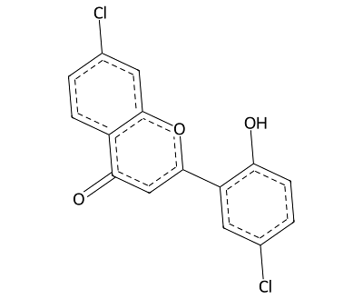 O=c1cc(-c2cc(Cl)ccc2O)oc2cc(Cl)ccc12